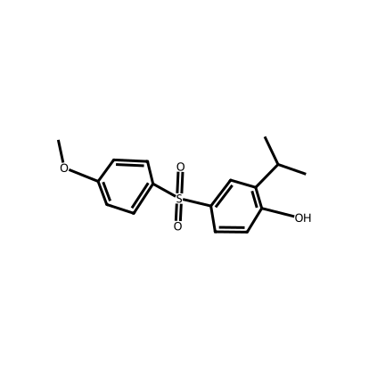 COc1ccc(S(=O)(=O)c2ccc(O)c(C(C)C)c2)cc1